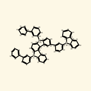 c1ccc(-c2cccc(-n3c4ccccc4c4c5c6cc(-c7cccc(-n8c9ccccc9c9ccccc98)c7)ccc6n(-c6cccc(-c7ccccc7)c6)c5ccc43)c2)cc1